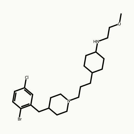 COCCNC1CCC(CCCN2CCC(Cc3cc(Cl)ccc3Br)CC2)CC1